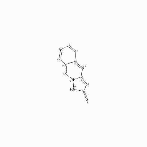 O=c1cc2nc3ccccc3cn2[nH]1